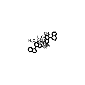 C[CH2][Zr]([Cl])([Cl])([CH]1C(C(C)C)=Cc2c(-c3cccc4ccccc34)cc(C)c(C)c21)[CH]1C(C(C)C)=Cc2c(-c3cccc4ccccc34)cc(C)c(C)c21